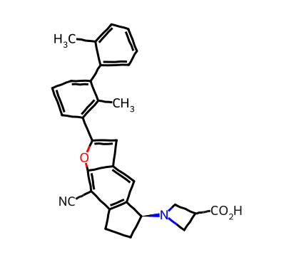 Cc1ccccc1-c1cccc(-c2cc3cc4c(c(C#N)c3o2)CC[C@@H]4N2CC(C(=O)O)C2)c1C